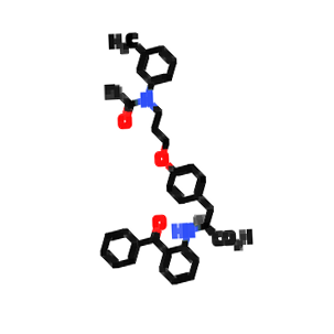 CCC(=O)N(CCCOc1ccc(C[C@H](Nc2ccccc2C(=O)c2ccccc2)C(=O)O)cc1)c1cccc(C)c1